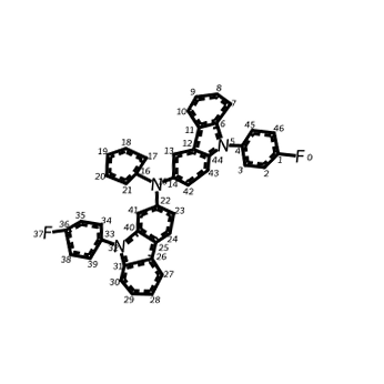 Fc1ccc(-n2c3ccccc3c3cc(N(c4ccccc4)c4ccc5c6ccccc6n(-c6ccc(F)cc6)c5c4)ccc32)cc1